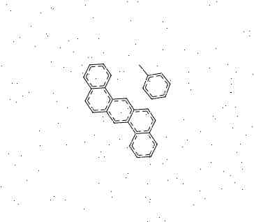 Cc1ccccc1.c1ccc2c(c1)ccc1cc3c(ccc4ccccc43)cc12